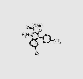 COC(=O)c1c(N)c2ccc(C3CC3)cc2n(-c2ccc(N)cc2)c1=O